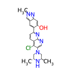 C[C@@H]1CN(c2cnc3nc(-c4cc5cn(C)nc5cc4O)ccc3c2Cl)C[C@@H](C)N1